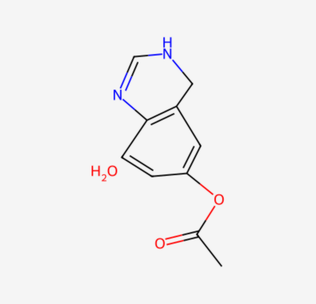 CC(=O)Oc1ccc2c(c1)CNC=N2.O